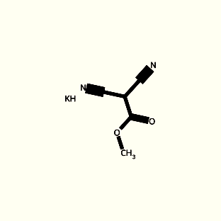 COC(=O)C(C#N)C#N.[KH]